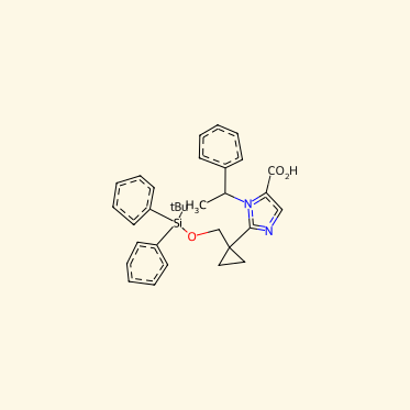 CC(c1ccccc1)n1c(C(=O)O)cnc1C1(CO[Si](c2ccccc2)(c2ccccc2)C(C)(C)C)CC1